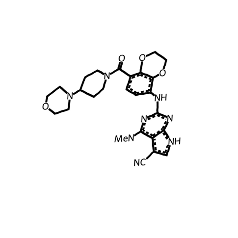 CNc1nc(Nc2ccc(C(=O)N3CCC(N4CCOCC4)CC3)c3c2OCCO3)nc2[nH]cc(C#N)c12